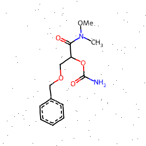 CON(C)C(=O)C(COCc1ccccc1)OC(N)=O